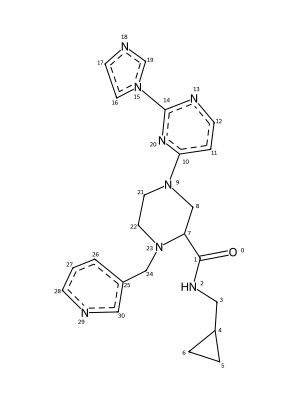 O=C(NCC1CC1)C1CN(c2ccnc(-n3ccnc3)n2)CCN1Cc1cccnc1